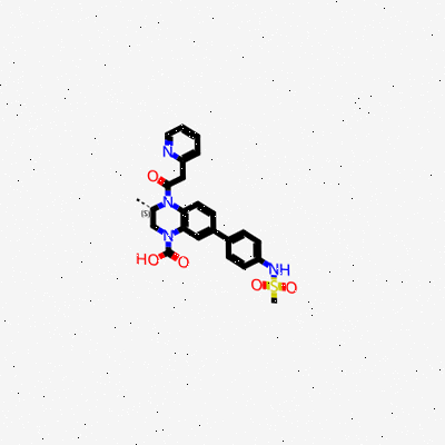 C[C@H]1CN(C(=O)O)c2cc(-c3ccc(NS(C)(=O)=O)cc3)ccc2N1C(=O)Cc1ccccn1